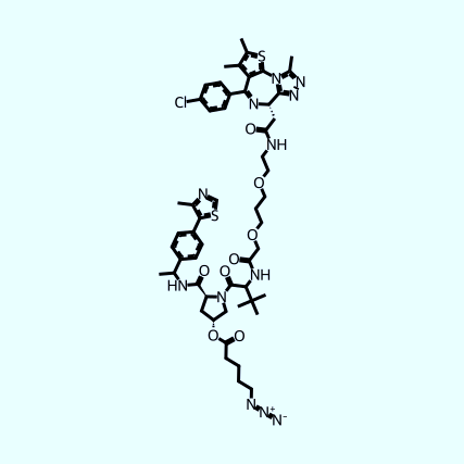 Cc1ncsc1-c1ccc(C(C)NC(=O)[C@@H]2C[C@@H](OC(=O)CCCCN=[N+]=[N-])CN2C(=O)C(NC(=O)COCCCOCCNC(=O)C[C@@H]2N=C(c3ccc(Cl)cc3)c3c(sc(C)c3C)-n3c(C)nnc32)C(C)(C)C)cc1